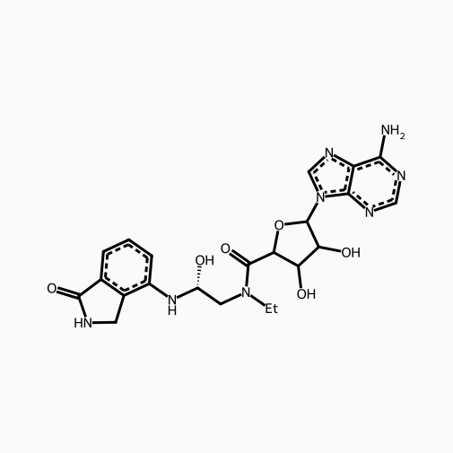 CCN(C[C@@H](O)Nc1cccc2c1CNC2=O)C(=O)C1OC(n2cnc3c(N)ncnc32)C(O)C1O